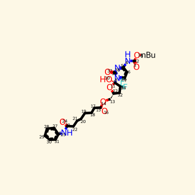 CCCCOC(=O)Nc1ccn([C@]2(O)O[C@@H](COC(=O)CCCCCCC(=O)Nc3ccccc3)CC2(F)F)c(=O)n1